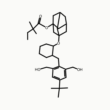 CCC(C)(C)C(=O)OC12CC3CC(C1)CC(OC1CCCCC1Cc1c(CO)cc(C(C)(C)C)cc1CO)(C3)C2